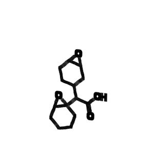 O=C(O)C(C1CCC2OC2C1)C12CCCCC1O2